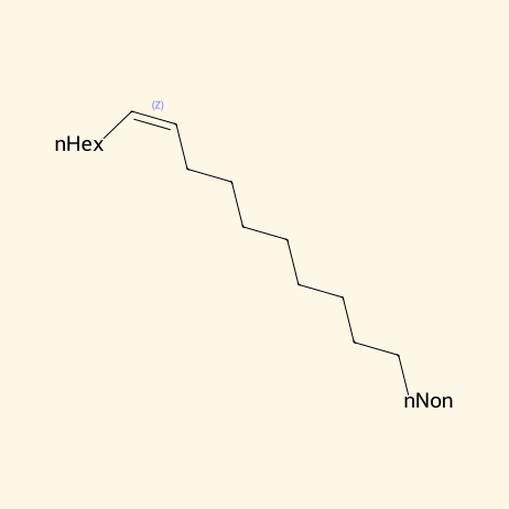 CCCCCC/C=C\CCCCCCCCCCCCCCCCC